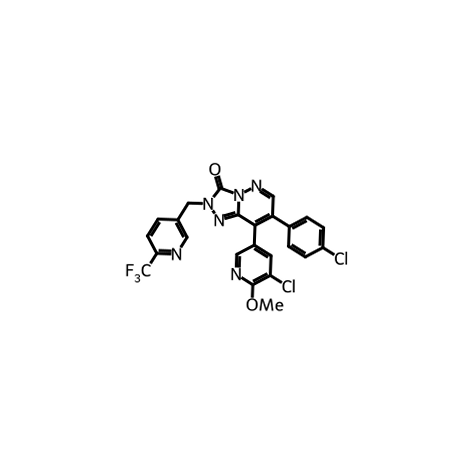 COc1ncc(-c2c(-c3ccc(Cl)cc3)cnn3c(=O)n(Cc4ccc(C(F)(F)F)nc4)nc23)cc1Cl